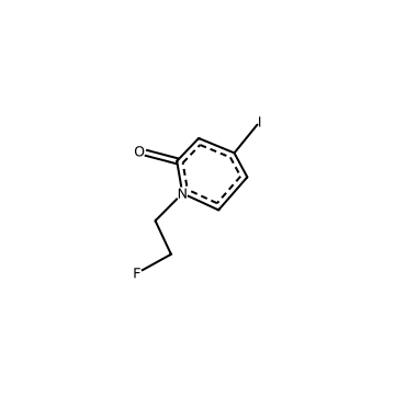 O=c1cc(I)ccn1CCF